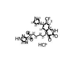 Cl.O=c1[nH]c2cc(C(F)(F)F)c(-n3ccnc3)cc2n(CCCCS(=O)(=O)c2nc[nH]n2)c1=O